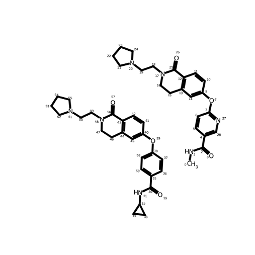 CNC(=O)c1ccc(Oc2ccc3c(c2)CCN(CCN2CCCC2)C3=O)nc1.O=C(NC1CC1)c1ccc(Oc2ccc3c(c2)CCN(CCN2CCCC2)C3=O)cc1